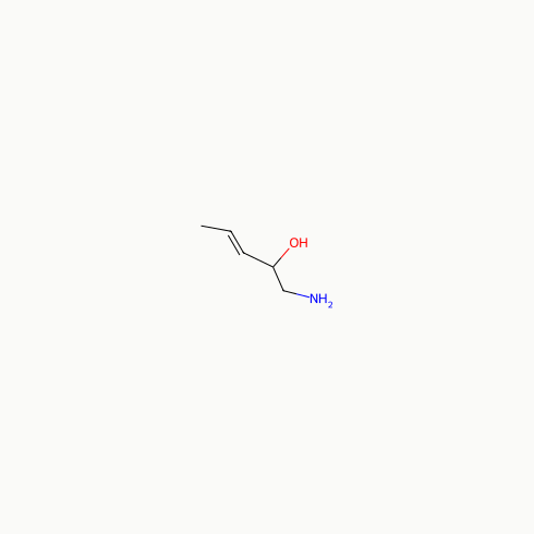 C/C=C/C(O)CN